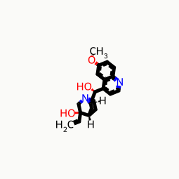 C=C[C@]1(O)CN2CC[C@H]1C[C@@H]2[C@@H](O)c1ccnc2ccc(OC)cc12